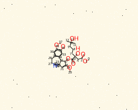 COC(=O)C[C@](O)(CCCC(C)(C)O)C(=O)O[C@@H]1C(OC)=C[C@]23CCCN2CCc2cc4c(cc2C13)OCO4